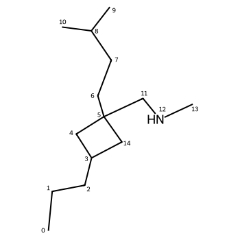 CCCC1CC(CCC(C)C)(CNC)C1